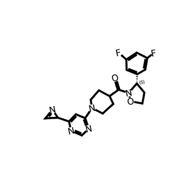 O=C(C1CCN(c2cc(C3C=N3)ncn2)CC1)N1OCC[C@H]1c1cc(F)cc(F)c1